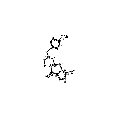 COc1ccc(CN2CCn3c(nn4c(C(C)C)ncc4c3=O)C2)cc1